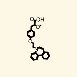 COC(Cc1ccc(OCCN2C=CC3=C(CCC=C3)c3ccccc32)cc1)C(=O)O